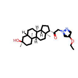 CCOc1cnn(CC(=O)[C@H]2CC[C@H]3[C@@H]4CC[C@H]5C[C@](C)(O)CC[C@]5(C)[C@H]4CC[C@]23C)c1